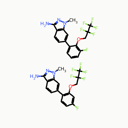 Cn1nc(N)c2ccc(-c3ccc(F)cc3OCC(F)(F)C(F)(F)F)cc21.Cn1nc(N)c2ccc(-c3cccc(F)c3OCC(F)(F)C(F)(F)F)cc21